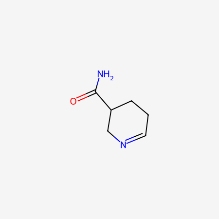 NC(=O)C1CCC=NC1